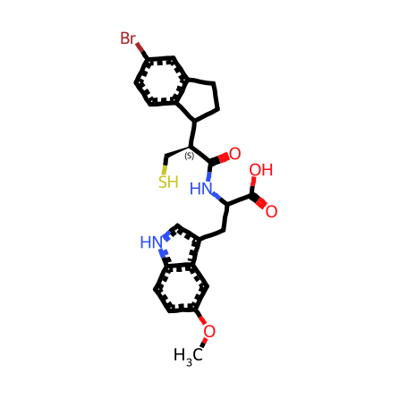 COc1ccc2[nH]cc(CC(NC(=O)[C@@H](CS)C3CCc4cc(Br)ccc43)C(=O)O)c2c1